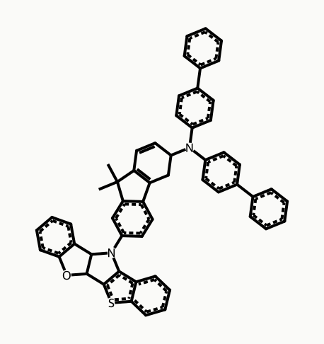 CC1(C)C2=C(CC(N(c3ccc(-c4ccccc4)cc3)c3ccc(-c4ccccc4)cc3)C=C2)c2ccc(N3c4c(sc5ccccc45)C4Oc5ccccc5C43)cc21